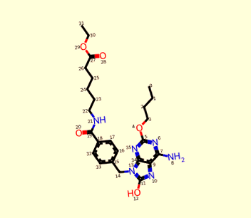 CCCCOc1nc(N)c2nc(O)n(Cc3ccc(C(=O)NCCCCCC(=O)OCC)cc3)c2n1